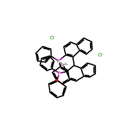 [Cl-].[Cl-].[Ru+2][C]1(P(c2ccccc2)c2ccccc2)C=Cc2ccccc2C1c1c(P(c2ccccc2)c2ccccc2)ccc2ccccc12